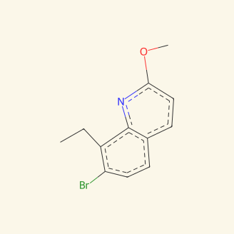 CCc1c(Br)ccc2ccc(OC)nc12